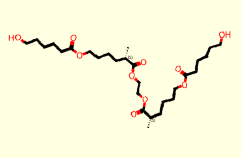 C[C@@H](CCCCOC(=O)CCCCCO)C(=O)OCCOC(=O)[C@@H](C)CCCCOC(=O)CCCCCO